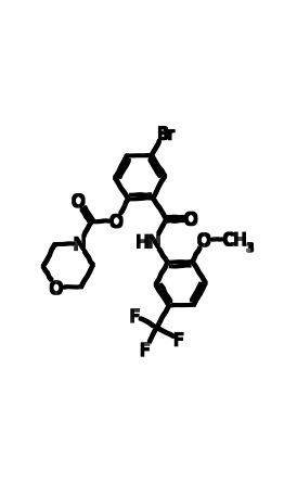 COc1ccc(C(F)(F)F)cc1NC(=O)c1cc(Br)ccc1OC(=O)N1CCOCC1